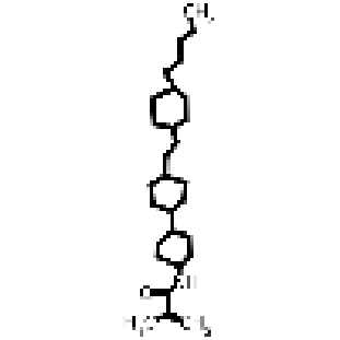 C=C(C)C(=O)NC1CCC(C2CCC(CCC3CCC(CCCCC)CC3)CC2)CC1